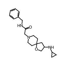 O=C(CN1CCC2(CC1)CC(NC1CC1)CO2)NCc1ccccc1